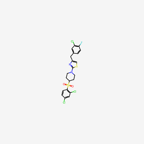 O=S(=O)(c1ccc(Cl)cc1Cl)C1CCN(c2nc(Cc3ccc(F)c(Cl)c3)cs2)CC1